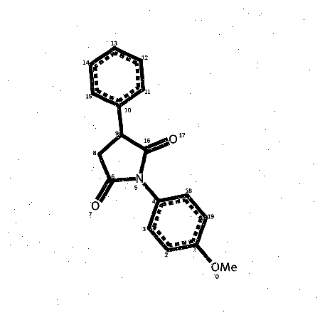 COc1ccc(N2C(=O)CC(c3ccccc3)C2=O)cc1